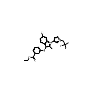 CCOC(=O)c1cccc(Sc2c(C)n(-c3cnn(CC(F)(F)F)c3)c3cc(Cl)ccc23)c1